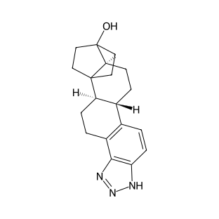 C[C@]12CC[C@@H]3c4ccc5[nH]nnc5c4CC[C@H]3C13CCC2(O)CC3